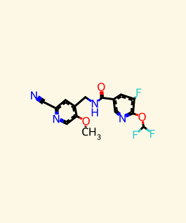 COc1cnc(C#N)cc1CNC(=O)c1cnc(OC(F)F)c(F)c1